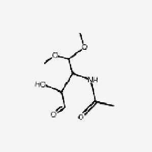 COC(OC)C(NC(C)=O)C(O)C=O